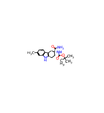 Cc1ccc2c3c([nH]c2c1)CC[C@](NC(=O)OC(C)(C)C)(C(N)=O)C3